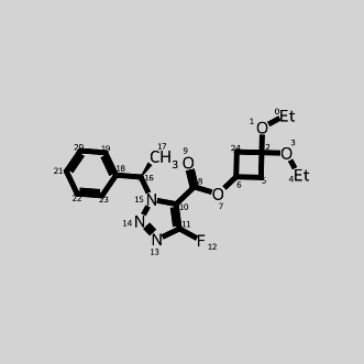 CCOC1(OCC)CC(OC(=O)c2c(F)nnn2[C@H](C)c2ccccc2)C1